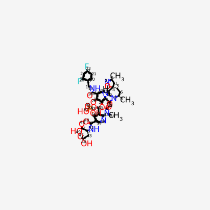 CC1=NO[C@@]2(CC[C@H](C)N3C[C@H]2n2cc(C(=O)NCc4ccc(F)cc4F)c(=O)c(OC(=O)N(C)c4ncc(C(=O)N[C@@H](CC(=O)O)C(=O)O)cc4COP(=O)(O)O)c2C3=O)C1